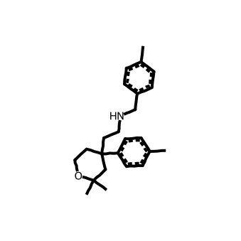 Cc1ccc(CNCCC2(c3ccc(C)cc3)CCOC(C)(C)C2)cc1